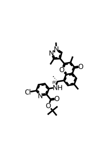 Cc1cc([C@@H](C)Nc2ccc(Cl)nc2C(=O)OC(C)(C)C)c2oc(-c3cn(C)nc3C)c(C)c(=O)c2c1